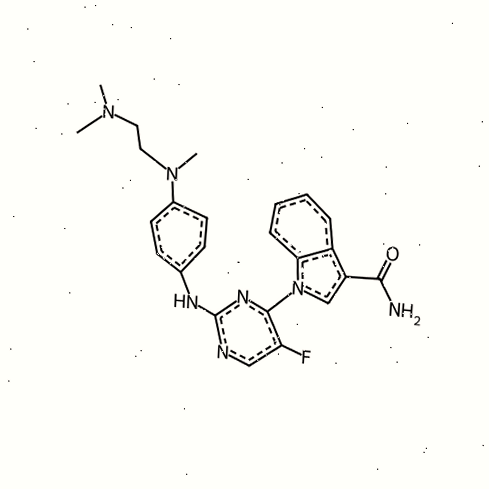 CN(C)CCN(C)c1ccc(Nc2ncc(F)c(-n3cc(C(N)=O)c4ccccc43)n2)cc1